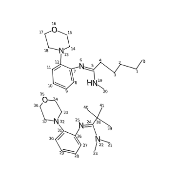 CCCCCC(=Nc1ccccc1N1CCOCC1)NC.CN(C)C(=Nc1ccccc1N1CCOCC1)C(C)(C)C